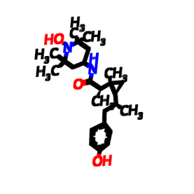 C[C@H](C(=O)NC1CC(C)(C)N(O)C(C)(C)C1)[C@]1(C)C[C@H]1[C@@H](C)Cc1ccc(O)cc1